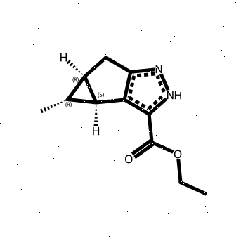 CCOC(=O)c1[nH]nc2c1[C@H]1[C@H](C)[C@H]1C2